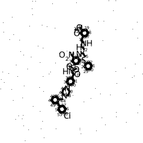 O=C(NS(=O)(=O)c1ccc(N[C@H](CCNCc2cccc3c2OCO3)CSc2ccccc2)c([N+](=O)[O-])c1)c1ccc(N2CCN(Cc3ccccc3-c3ccc(Cl)cc3)CC2)cc1